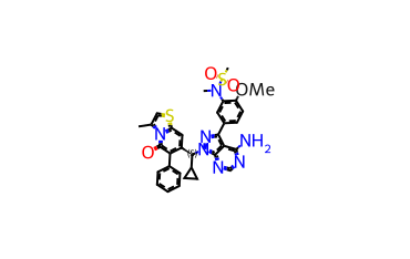 COc1ccc(-c2nn([C@H](c3cc4scc(C)n4c(=O)c3-c3ccccc3)C3CC3)c3ncnc(N)c23)cc1N(C)S(C)(=O)=O